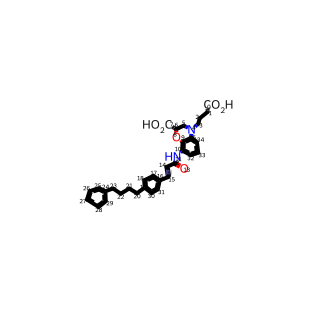 O=C(O)CCCN1CC(C(=O)O)Oc2c(NC(=O)/C=C/c3ccc(CCCCc4ccccc4)cc3)cccc21